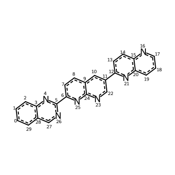 c1ccc2nc(-c3ccc4cc(-c5ccc6ncccc6n5)cnc4n3)ncc2c1